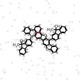 CC1(C)c2ccccc2-c2ccc(-c3c4oc5ccc(N(c6ccc7c(c6)C(C)(C)c6ccccc6-7)c6ccccc6-c6ccccc6)cc5c4cc4oc5ccccc5c34)cc21